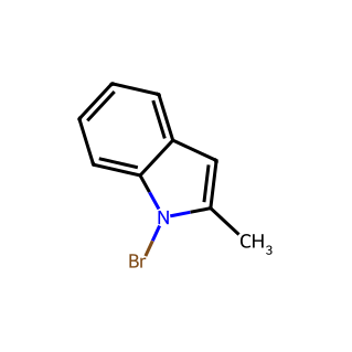 Cc1cc2ccccc2n1Br